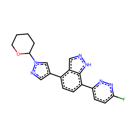 Fc1ccc(-c2ccc(-c3cnn(C4CCCCO4)c3)c3cn[nH]c23)nn1